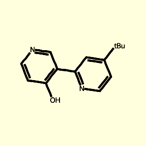 CC(C)(C)c1ccnc(-c2cnccc2O)c1